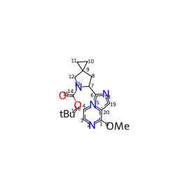 COc1nccn2c(C3CC4(CC4)CN3C(=O)OC(C)(C)C)ncc12